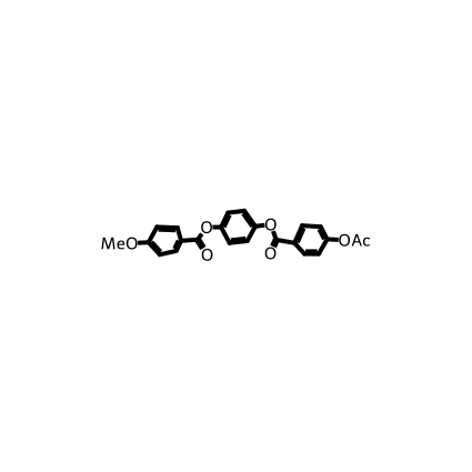 COc1ccc(C(=O)Oc2ccc(OC(=O)c3ccc(OC(C)=O)cc3)cc2)cc1